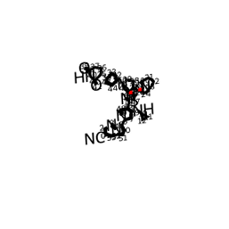 N#Cc1cnn2c(-c3cc(NC4CC4)c(-c4nnc(N5CC6CCC(C5)N6CC5CCN(c6ccc([C@H]7CCC(=O)NC7=O)cc6)CC5)s4)cn3)ccc2c1